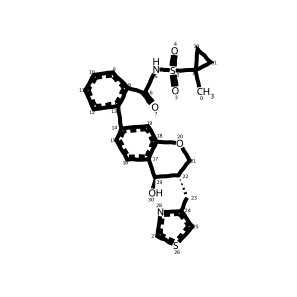 CC1(S(=O)(=O)NC(=O)c2ccccc2-c2ccc3c(c2)OC[C@H](Cc2cscn2)[C@H]3O)CC1